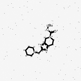 CC(C)(C)OC(=O)N1CCc2nc(CN3CCCCC3)sc2C1